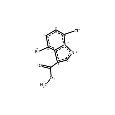 COC(=O)c1cnn2c(Cl)ccc(Br)c12